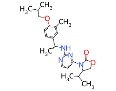 Cc1cc([C@H](C)Nc2nccc(N3C(=O)OCC3C(C)C)n2)ccc1OCC(C)C